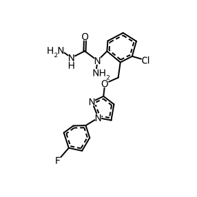 NNC(=O)N(N)c1cccc(Cl)c1COc1ccn(-c2ccc(F)cc2)n1